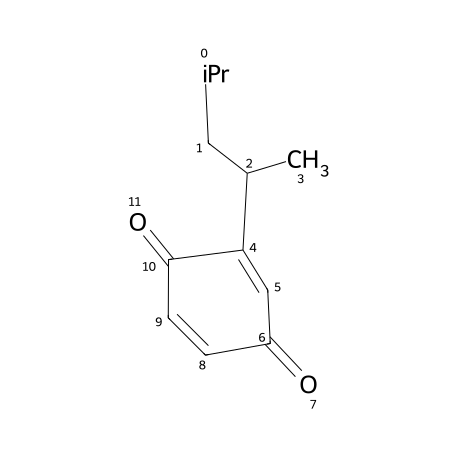 CC(C)CC(C)C1=CC(=O)C=CC1=O